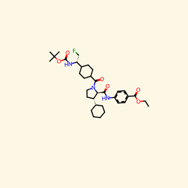 CCOC(=O)c1ccc(NC(=O)[C@H]2[C@H](C3CCCCC3)CCN2C(=O)C2CCC([C@@H](CF)NC(=O)OC(C)(C)C)CC2)cc1